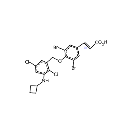 O=C(O)/C=C/c1cc(Br)c(OCc2cc(Cl)cc(NC3CCC3)c2Cl)c(Br)c1